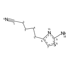 N#CCCCCc1csc(N)n1